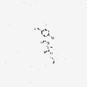 C=CCOC(=O)C(C)(C)OC(=O)c1cc([N+](=O)[O-])c(F)cc1Cl